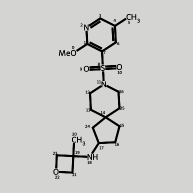 COc1ncc(C)cc1S(=O)(=O)N1CCC2(CCC(NC3(C)COC3)C2)CC1